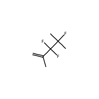 C=C(C)C(F)(F)C(C)(C)F